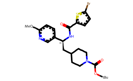 COc1ccc([C@H](CC2CCN(C(=O)OC(C)(C)C)CC2)NC(=O)c2ccc(Br)s2)cn1